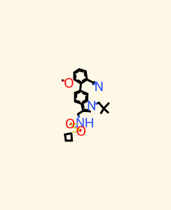 COc1cccc(C#N)c1-c1ccc2c(CNS(=O)(=O)C3CCC3)cn(CC(C)(C)C)c2c1